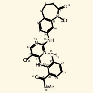 CCN1C(=O)CCCc2ccc(Nc3ncc(Cl)c(Nc4c(C)cccc4C(=O)NC)n3)cc21